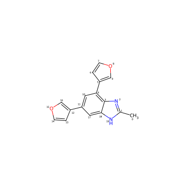 Cc1nc2c(-c3ccoc3)cc(-c3ccoc3)cc2[nH]1